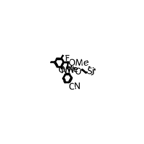 COc1cc(C)cc(C)c1C(F)(OC)c1nc2ccc(C#N)cc2n1COCC[Si](C)(C)C